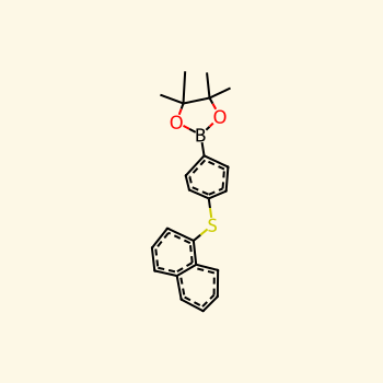 CC1(C)OB(c2ccc(Sc3cccc4ccccc34)cc2)OC1(C)C